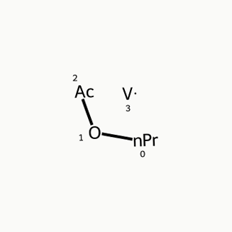 CCCOC(C)=O.[V]